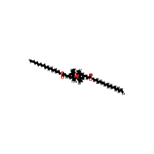 CCCCCCCCCCCCCCCCCCOC(=O)CCc1cc(C(C)(C)C)c(OOc2c(C(C)(C)C)cc(CCC(=O)OCCCCCCCCCCCCCCCCCC)cc2C(C)(C)C)c(C(C)(C)C)c1